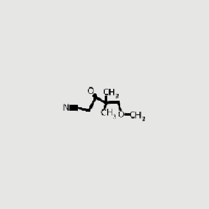 COCC(C)(C)C(=O)CC#N